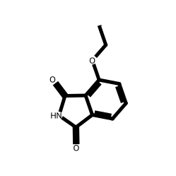 [CH2]COc1cccc2c1C(=O)NC2=O